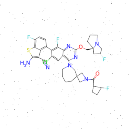 N#Cc1c(N)sc2c(F)ccc(-c3c(Cl)cc4c(N5CCCCC6(CN(C(=O)C7CCC7F)C6)C5)nc(OC[C@@]56CCCN5C[C@H](F)C6)nc4c3F)c12